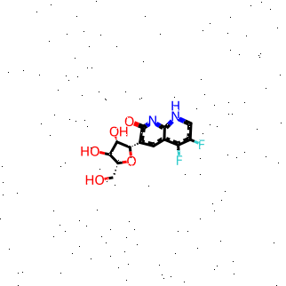 O=c1nc2[nH]cc(F)c(F)c-2cc1[C@@H]1O[C@H](CO)C(O)[C@@H]1O